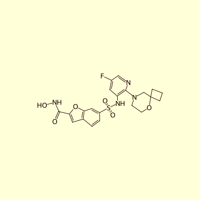 O=C(NO)c1cc2ccc(S(=O)(=O)Nc3cc(F)cnc3N3CCOC4(CCC4)C3)cc2o1